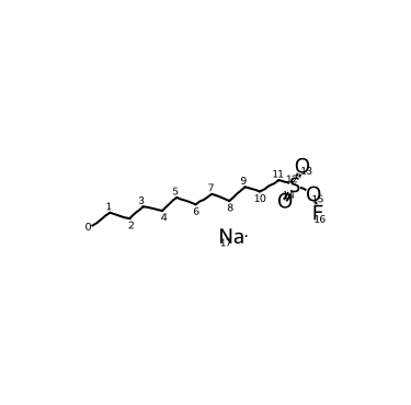 CCCCCCCCCCCCS(=O)(=O)OF.[Na]